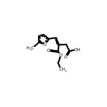 CCOC(=O)C(=Cc1ccc(C)o1)CC(=O)O